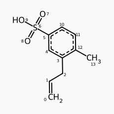 C=CCc1cc(S(=O)(=O)O)ccc1C